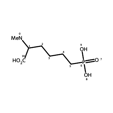 CNC(CCCCP(=O)(O)O)C(=O)O